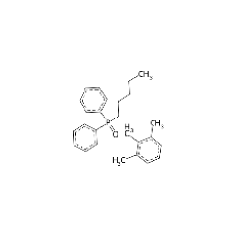 CCCCCP(=O)(c1ccccc1)c1ccccc1.Cc1cccc(C)c1C